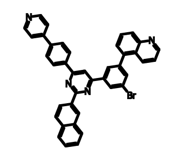 Brc1cc(-c2cc(-c3ccc(-c4ccncc4)cc3)nc(-c3ccc4ccccc4c3)n2)cc(-c2cccc3ncccc23)c1